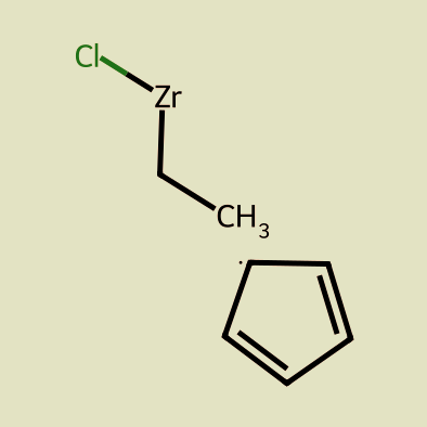 C[CH2][Zr][Cl].[CH]1C=CC=C1